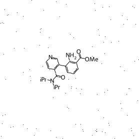 COC(=O)c1cccc(-c2cnccc2C(=O)N(C(C)C)C(C)C)c1N